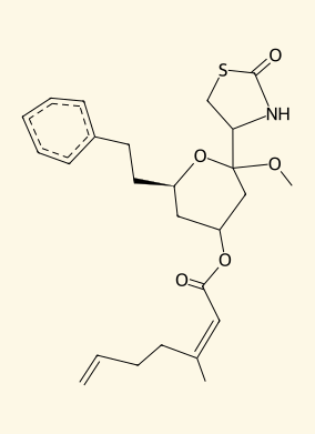 C=CCC/C(C)=C\C(=O)OC1C[C@@H](CCc2ccccc2)OC(OC)(C2CSC(=O)N2)C1